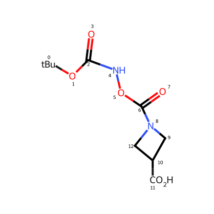 CC(C)(C)OC(=O)NOC(=O)N1CC(C(=O)O)C1